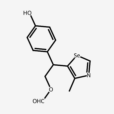 Cc1nc[se]c1C(COC=O)c1ccc(O)cc1